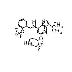 CC(C)c1cnc2c(NCc3ccccc3OC(F)(F)F)cc(OC3CCNCC3(F)F)nn12